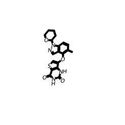 Cc1ccc2c(cnn2C2CCCCO2)c1Oc1csc2c(=O)[nH]c(=O)[nH]c12